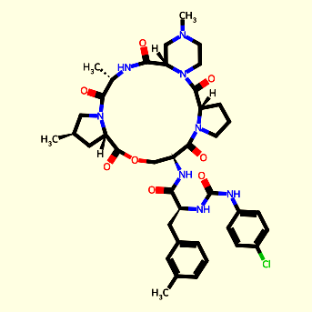 Cc1cccc(C[C@H](NC(=O)Nc2ccc(Cl)cc2)C(=O)N[C@H]2COC(=O)[C@@H]3C[C@@H](C)CN3C(=O)[C@H](C)NC(=O)[C@@H]3CN(C)CCN3C(=O)[C@@H]3CCCN3C2=O)c1